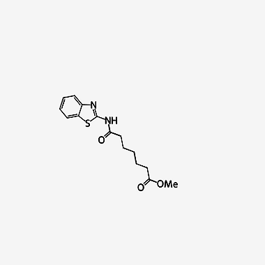 COC(=O)CCCCCC(=O)Nc1nc2ccccc2s1